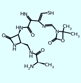 C[C@@H](N)C(=O)NC[C@H]1NC(=O)[C@H]1NC(=O)C(=N)C(=C/S)/N=C/N1C(=O)OC1(C)C